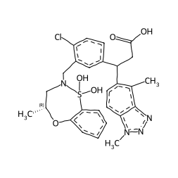 Cc1c(C(CC(=O)O)c2ccc(Cl)c(CN3C[C@@H](C)Oc4ccccc4S3(O)O)c2)ccc2c1nnn2C